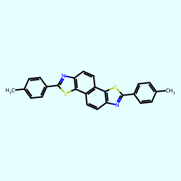 Cc1ccc(-c2nc3ccc4c(ccc5nc(-c6ccc(C)cc6)sc54)c3s2)cc1